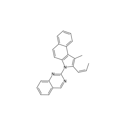 C/C=C\c1c(C)c2c3ccccc3ccc2n1-c1ncc2ccccc2n1